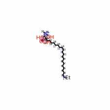 CC/C=C\CCCCCCCCCC/C=C\CCCCCCCC(O)(C[N+](C)(C)C)P(=O)(O)O